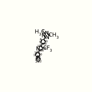 Cc1nc(C)nc(-c2ccc(-c3cnc(-c4ccc5c(c4)C4CCC5C4)cc3C(F)(F)F)cc2)n1